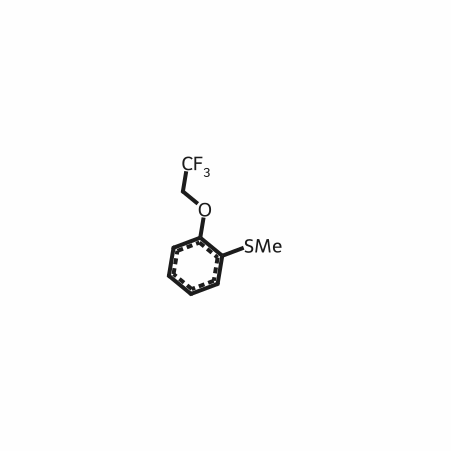 CSc1ccccc1OCC(F)(F)F